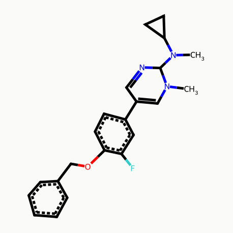 CN1C=C(c2ccc(OCc3ccccc3)c(F)c2)C=NC1N(C)C1CC1